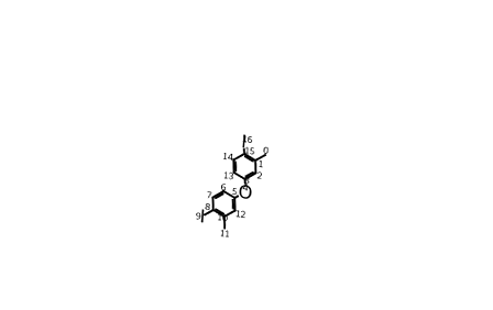 Cc1cc(Oc2ccc(I)c(C)c2)ccc1I